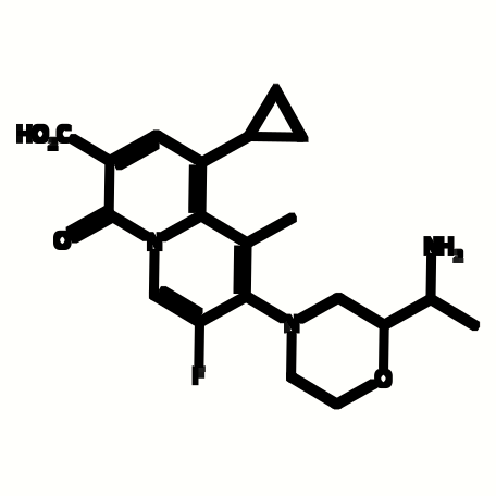 Cc1c(N2CCOC(C(C)N)C2)c(F)cn2c(=O)c(C(=O)O)cc(C3CC3)c12